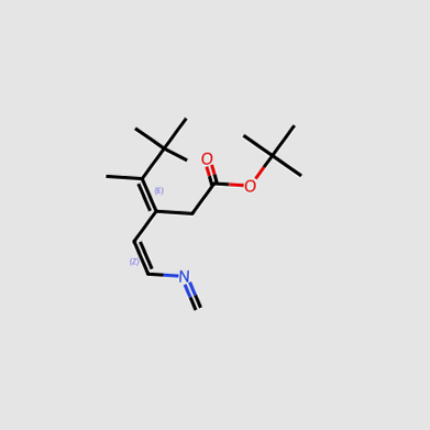 C=N/C=C\C(CC(=O)OC(C)(C)C)=C(/C)C(C)(C)C